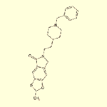 CC1Oc2cc3c(cc2O1)C(=O)N(CCC1CCN(Cc2ccccc2)CC1)C3